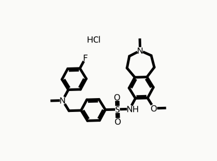 COc1cc2c(cc1NS(=O)(=O)c1ccc(CN(C)c3ccc(F)cc3)cc1)CCN(C)CC2.Cl